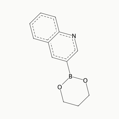 c1ccc2ncc(B3OCCCO3)cc2c1